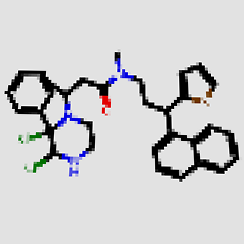 CC(CC(=O)N(C)CCC(c1cccs1)c1cccc2ccccc12)N1CCNC(Cl)C1(Cl)c1ccccc1